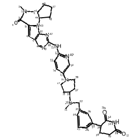 CN(C)C(=O)c1cc2cnc(Nc3ccc(N4CCC(N(C)Cc5cccc(C6CCC(=O)NC6=O)c5)CC4)cn3)nc2n1C1CCCC1